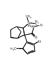 CCC1=C(C2(C(=O)[NH][Ti])C3CCC(C3)C2[SiH](C)C)C(C)C=C1